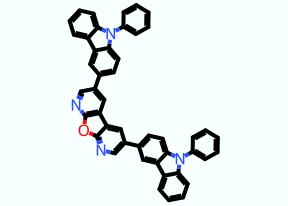 c1ccc(-n2c3ccccc3c3cc(-c4cnc5oc6ncc(-c7ccc8c(c7)c7ccccc7n8-c7ccccc7)cc6c5c4)ccc32)cc1